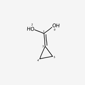 OC(O)=C1CC1